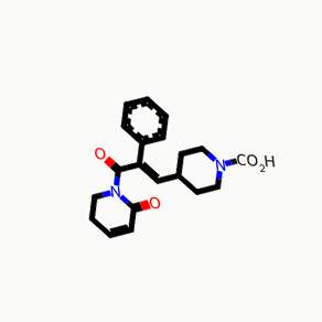 O=C(O)N1CCC(/C=C(/C(=O)N2CCC=CC2=O)c2ccccc2)CC1